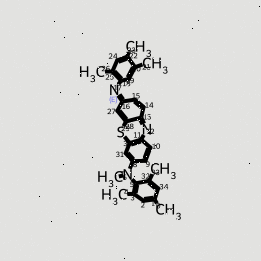 Cc1cc(C)c(N(C)c2ccc3nc4cc/c(=N\c5cc(C)c(C)cc5C)cc-4sc3c2)c(C)c1